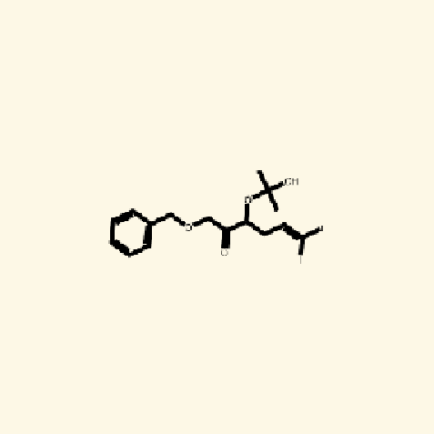 CC(C)(O)OC(CC=C(I)I)C(=O)COCc1ccccc1